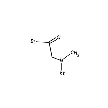 CCC(=O)CN(C)CC